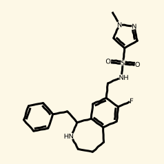 Cn1cc(S(=O)(=O)NCc2cc3c(cc2F)CCCNC3Cc2ccccc2)cn1